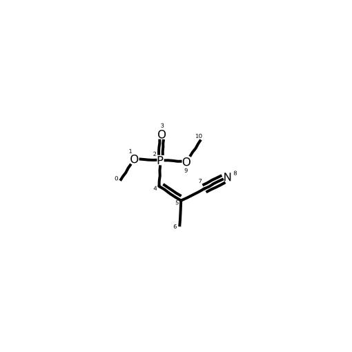 COP(=O)(C=C(C)C#N)OC